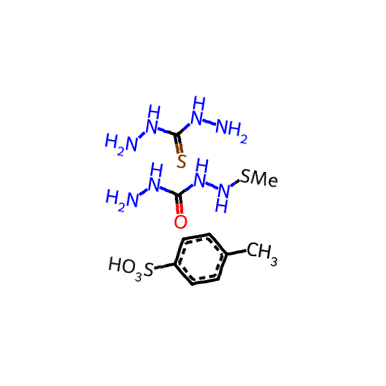 CSNNC(=O)NN.Cc1ccc(S(=O)(=O)O)cc1.NNC(=S)NN